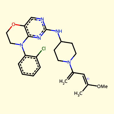 C=C(/C=C(\C)OC)N1CCC(Nc2ncc3c(n2)N(c2ccccc2Cl)CCO3)CC1